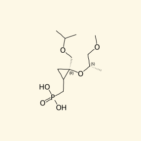 COC[C@H](C)O[C@]1(COC(C)C)CC1CP(=O)(O)O